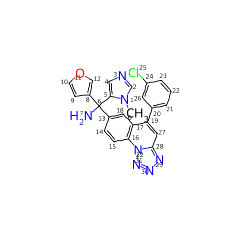 Cn1cncc1C(N)(c1ccoc1)c1ccc2c(c1)c(-c1cccc(Cl)c1)cc1nnnn12